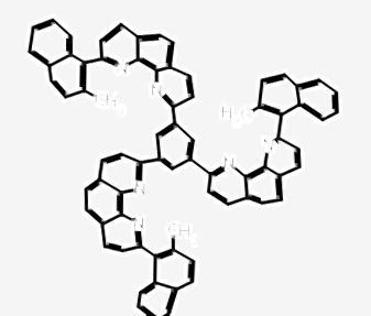 Cc1ccc2ccccc2c1-c1ccc2ccc3ccc(-c4cc(-c5ccc6ccc7ccc(-c8c(C)ccc9ccccc89)nc7c6n5)cc(-c5ccc6ccc7ccc(-c8c(C)ccc9ccccc89)nc7c6n5)c4)nc3c2n1